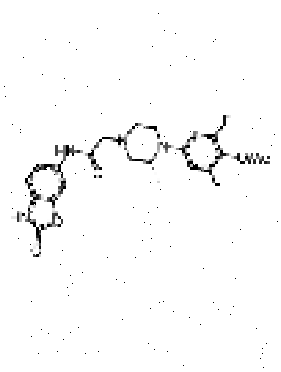 COc1c(F)cc(N2CCN(CC(=O)Nc3ccc4[nH]c(=O)oc4c3)C[C@H]2C)cc1F